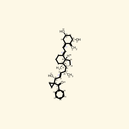 C=C1/C(=C\C=C2/CCC[C@]3(C)[C@@H]([C@H](C)/C=C/[C@@H](O)C4(C(=O)c5ccccc5)CC4)CC[C@@H]23)C[C@@H](O)C[C@@H]1O